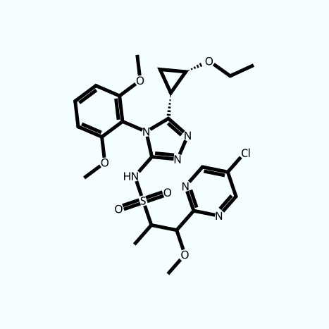 CCO[C@H]1C[C@H]1c1nnc(NS(=O)(=O)C(C)C(OC)c2ncc(Cl)cn2)n1-c1c(OC)cccc1OC